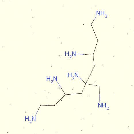 NCCC(N)CC(N)(CN)CC(N)CCN